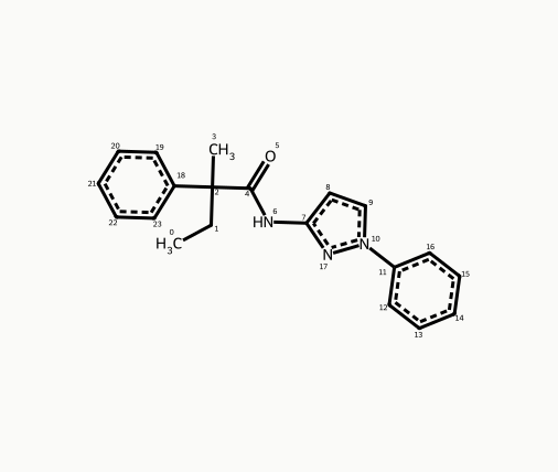 CCC(C)(C(=O)Nc1ccn(-c2ccccc2)n1)c1ccccc1